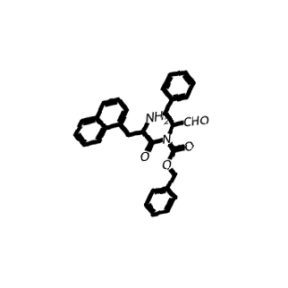 NC(Cc1cccc2ccccc12)C(=O)N(C(=O)OCc1ccccc1)C(C=O)Cc1ccccc1